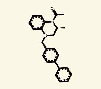 CC(=O)N1c2ccccc2N(Cc2ccc(-c3ccccc3)cc2)C[C@@H]1C